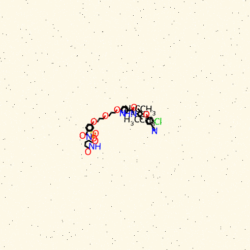 CC1(C)C(NC(=O)c2ccc(OCCCOCCCOc3ccc4c(c3)S(=O)(=O)N(C3CCC(=O)NC3=O)C4=O)nc2)C(C)(C)C1Oc1ccc(C#N)c(Cl)c1